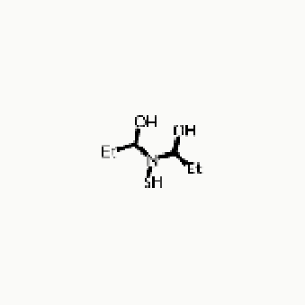 CCC(O)N(S)C(O)CC